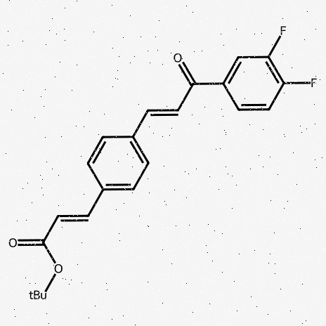 CC(C)(C)OC(=O)C=Cc1ccc(C=CC(=O)c2ccc(F)c(F)c2)cc1